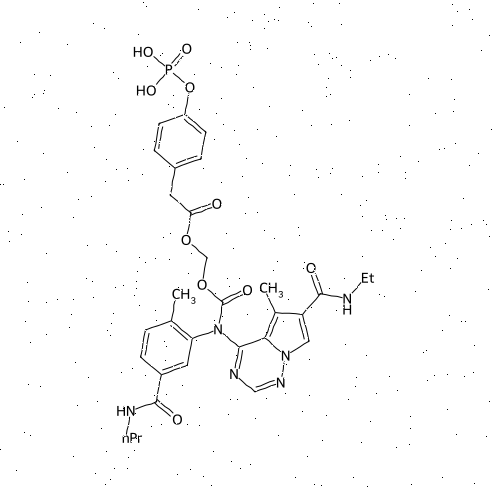 CCCNC(=O)c1ccc(C)c(N(C(=O)OCOC(=O)Cc2ccc(OP(=O)(O)O)cc2)c2ncnn3cc(C(=O)NCC)c(C)c23)c1